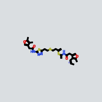 C=C(CCSCCc1nnc(NC(=O)Cc2coc(C)c2C)s1)SC(=C)NC(=O)Cc1coc(C)c1/C=C\C